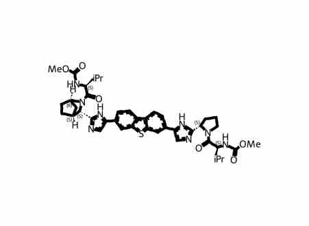 COC(=O)N[C@H](C(=O)N1CCC[C@H]1c1ncc(-c2ccc3c(c2)sc2cc(-c4cnc([C@@H]5[C@H]6CC[C@H](C6)N5C(=O)[C@@H](NC(=O)OC)C(C)C)[nH]4)ccc23)[nH]1)C(C)C